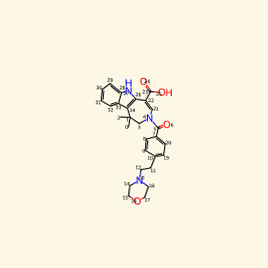 CC1(C)CN(C(=O)c2ccc(CCN3CCOCC3)cc2)C=C(C(=O)O)c2[nH]c3ccccc3c21